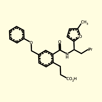 Cc1ccc(C(CC(C)C)NC(=O)c2cc(COc3ccccc3)ccc2CCC(=O)O)o1